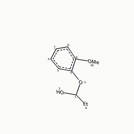 CCC(O)Oc1cc[c]cc1OC